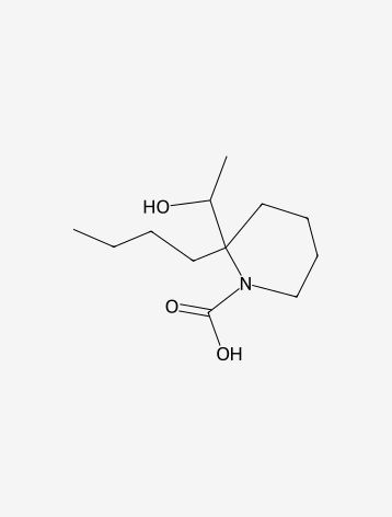 CCCCC1(C(C)O)CCCCN1C(=O)O